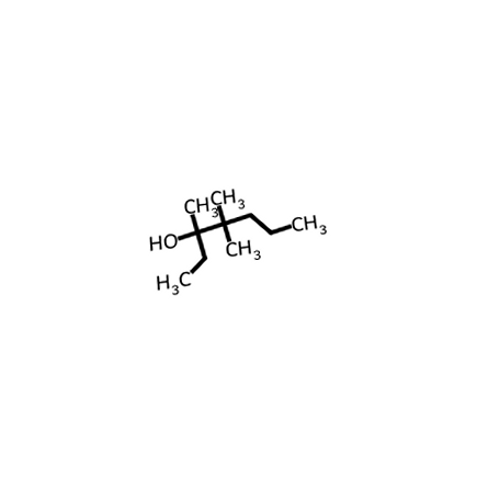 CCCC(C)(C)C(C)(O)CC